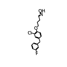 ON=CCCCOc1ccc(Cc2cccc(F)c2)cc1Cl